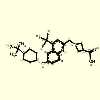 CC(C)(C)[C@H]1CC[C@H](Oc2ccc3nc(CN4CC(C(=O)O)C4)cc(C(F)(F)F)c3c2)CC1